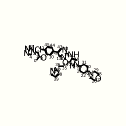 CC(Cn1cnnn1)Oc1cc(-c2cnc(Nc3cn(C4CCC(N5CCOCC5)CC4)nc3OCCn3cccn3)nc2)ccc1Cl